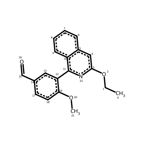 CCOc1cc2ccccc2c(-c2cc(C=O)ccc2OC)n1